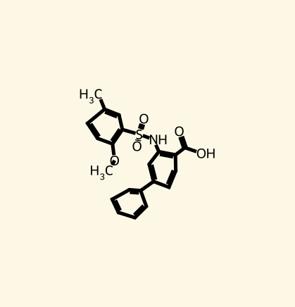 COc1ccc(C)cc1S(=O)(=O)Nc1cc(-c2ccccc2)ccc1C(=O)O